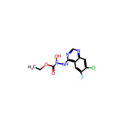 CCOC(=O)N(O)Nc1ncnc2cc(Cl)c(F)cc12